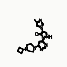 Cc1cn(-c2c[nH]n(-c3cc(N4CCN(C5CCC5)CC4)ncn3)c2=O)cn1